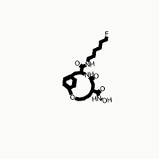 O=C1CC(C(=O)NO)CCCOc2ccc(cc2)CC(C(=O)NCCCCCCF)N1